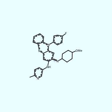 COC1CCC(/N=c2\cc3n(-c4ccc(F)cc4)c4ccccc4nc-3cc2Nc2ccc(C)nc2)CC1